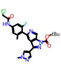 Cc1cc(NC(=O)CCl)cc(F)c1-c1cc2c(-c3cnn(C)c3)nn(C(=O)OC(C)(C)C)c2cn1